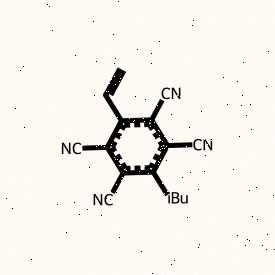 C=Cc1c(C#N)c(C#N)c(C(C)CC)c(C#N)c1C#N